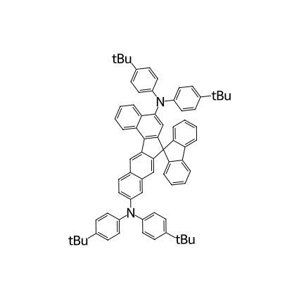 CC(C)(C)c1ccc(N(c2ccc(C(C)(C)C)cc2)c2ccc3cc4c(cc3c2)C2(c3ccccc3-c3ccccc32)c2cc(N(c3ccc(C(C)(C)C)cc3)c3ccc(C(C)(C)C)cc3)c3ccccc3c2-4)cc1